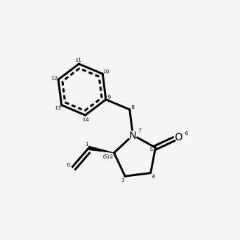 C=C[C@@H]1CCC(=O)N1Cc1ccccc1